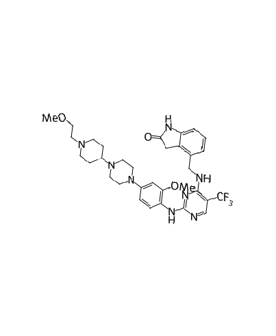 COCCN1CCC(N2CCN(c3ccc(Nc4ncc(C(F)(F)F)c(NCc5cccc6c5CC(=O)N6)n4)c(OC)c3)CC2)CC1